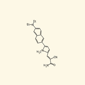 CCN(CC)c1ccc2cc(-c3ccc(/C=C(\C#N)C(N)=O)n3C)ccc2c1